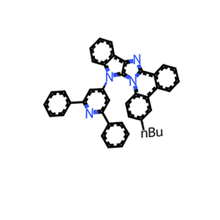 CCCCc1ccc2c(c1)c1ccccc1c1nc3c4ccccc4n(-c4cc(-c5ccccc5)nc(-c5ccccc5)c4)c3n21